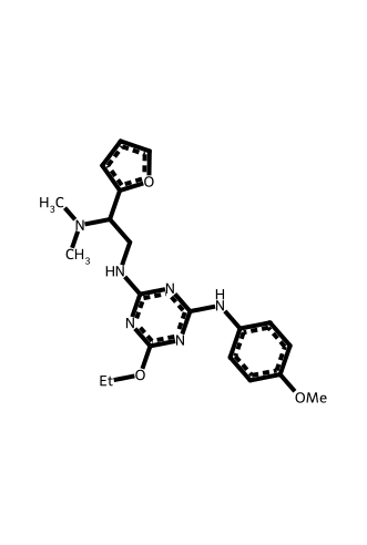 CCOc1nc(NCC(c2ccco2)N(C)C)nc(Nc2ccc(OC)cc2)n1